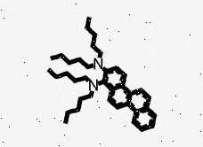 CCCCCN(CCCCC)c1ccc2c(ccc3c4ccccc4ccc23)c1N(CCCCC)CCCCC